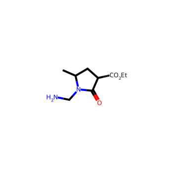 CCOC(=O)C1CC(C)N(CN)C1=O